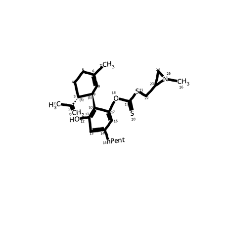 C=C(C)[C@@H]1CCC(C)=C[C@H]1c1c(O)cc(CCCCC)cc1OC(=S)SCC1CN1C